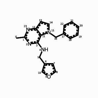 Cc1nc(NCc2ccoc2)c2c(ccn2Cc2ccccc2)n1